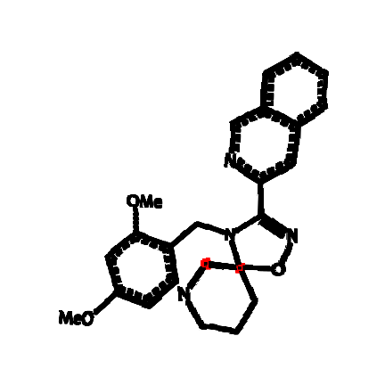 COc1ccc(CN2C(c3cc4ccccc4cn3)=NOC23CN2CCC3CC2)c(OC)c1